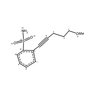 COCCCC#Cc1ccccc1S(N)(=O)=O